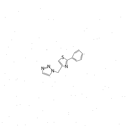 [c]1ccc(-c2nc(Cn3ccnn3)cs2)cc1